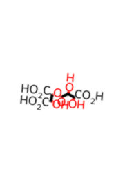 O=C(O)C(O)C(O)C(=O)O[C@@H](C(=O)O)[C@@H](O)C(=O)O